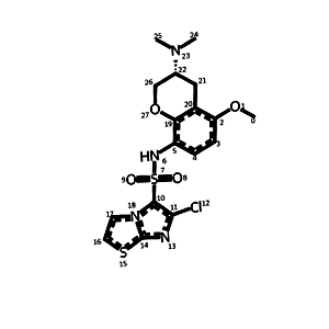 COc1ccc(NS(=O)(=O)c2c(Cl)nc3sccn23)c2c1C[C@@H](N(C)C)CO2